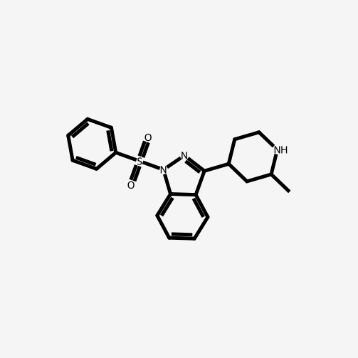 CC1CC(c2nn(S(=O)(=O)c3ccccc3)c3ccccc23)CCN1